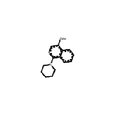 COc1cnc(N2CCCCC2)c2ccccc12